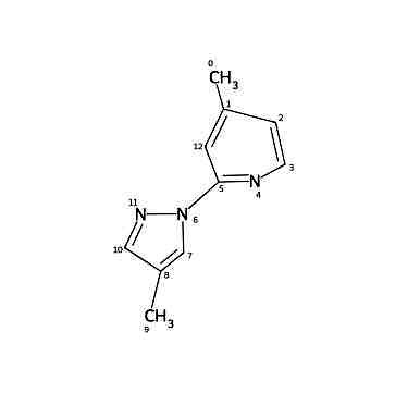 Cc1ccnc(-n2cc(C)cn2)c1